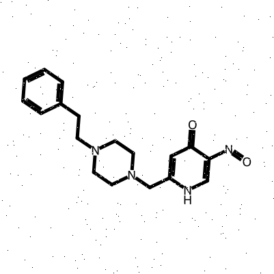 O=Nc1c[nH]c(CN2CCN(CCc3ccccc3)CC2)cc1=O